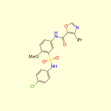 COc1ccc(NC(=O)c2ocnc2C(C)C)cc1S(=O)(=O)Nc1ccc(Cl)cc1